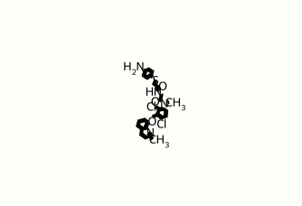 Cc1ccc2cccc(OCc3c(Cl)ccc(N(C)C(=O)CNC(=O)CSc4ccc(N)cc4)c3Cl)c2n1